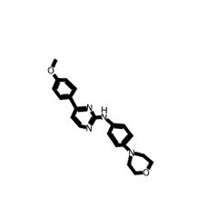 COc1ccc(-c2ccnc(Nc3ccc(N4CCOCC4)cc3)n2)cc1